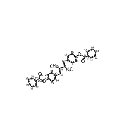 [C-]#[N+]C(=C\c1ccc(OC(=O)c2ccccc2)cc1)/C(=C/c1ccc(OC(=O)c2ccccc2)cc1)[N+]#[C-]